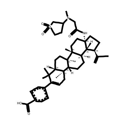 C=C(C)[C@@H]1CC[C@]2(NC(=O)CN(C)C3CCS(=O)(=O)C3)CC[C@]3(C)[C@H](CC[C@@H]4[C@@]5(C)CC=C(c6ccc(C(=O)O)cc6)C(C)(C)[C@@H]5CC[C@]43C)[C@@H]12